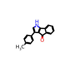 Cc1ccc(-c2c[nH]c3c2C(=O)c2ccccc2-3)cc1